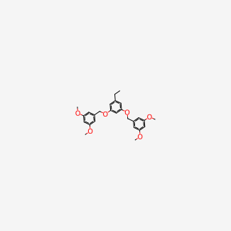 CCc1cc(OCc2cc(OC)cc(OC)c2)cc(OCc2cc(OC)cc(OC)c2)c1